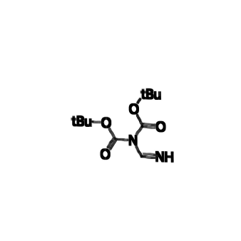 CC(C)(C)OC(=O)N(C=N)C(=O)OC(C)(C)C